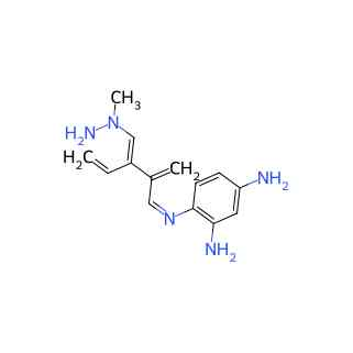 C=C/C(=C\N(C)N)C(=C)/C=N\c1ccc(N)cc1N